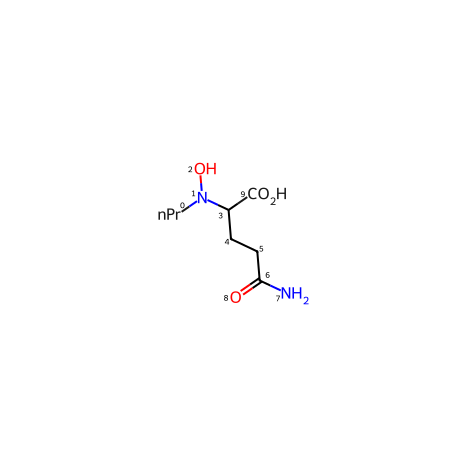 CCCN(O)C(CCC(N)=O)C(=O)O